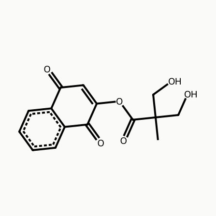 CC(CO)(CO)C(=O)OC1=CC(=O)c2ccccc2C1=O